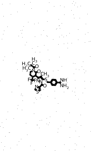 Cc1c(C2C(=O)N(C(=O)C(C)(C)C)CCC2C(F)(F)F)nn(C(=O)c2cscn2)c1SCc1ccc(C(=N)N)cc1